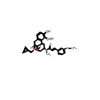 COc1c(O)ccc2c1[C@]13CCN(CC4CC4)[C@H](C2)[C@]1(O)CCC(N(C)C(=O)/C=C/c1cccc(OC(F)(F)F)c1)C3